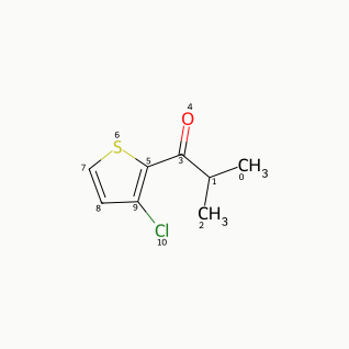 CC(C)C(=O)c1sccc1Cl